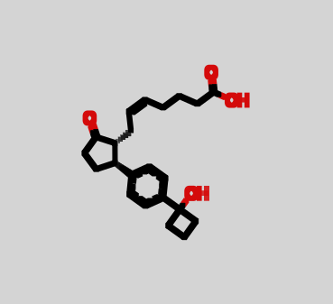 O=C(O)CCC/C=C\C[C@H]1C(=O)CC[C@@H]1c1ccc(C2(O)CCC2)cc1